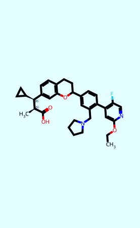 CCOc1cc(-c2ccc(C3CCc4ccc([C@H](C5CC5)[C@H](C)C(=O)O)cc4O3)cc2CN2CCCC2)c(F)cn1